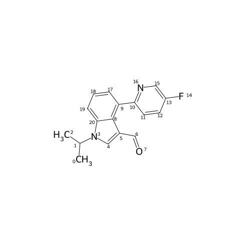 CC(C)n1cc(C=O)c2c(-c3ccc(F)cn3)cccc21